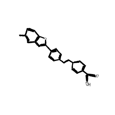 Cc1ccc2oc(-c3ccc(/C=C/c4ccc(C(=O)O)cc4)cc3)cc2c1